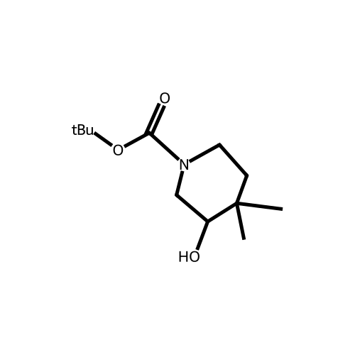 CC(C)(C)OC(=O)N1CCC(C)(C)C(O)C1